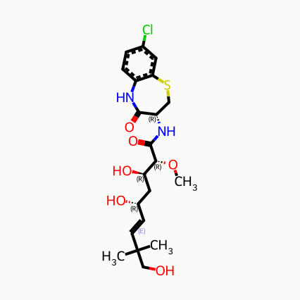 CO[C@@H](C(=O)N[C@H]1CSc2cc(Cl)ccc2NC1=O)[C@H](O)C[C@@H](O)/C=C/C(C)(C)CO